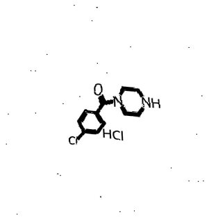 Cl.O=C(c1ccc(Cl)cc1)N1CCNCC1